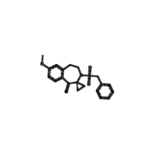 COc1ccc2c(c1)CCN(S(=O)(=O)Cc1ccccc1)C1(CC1)C2=O